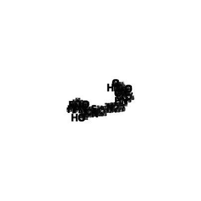 C[C@H](CNc1cccc2c1C(=O)N(C1CCC(=O)NC1=O)C2=O)C[C@]1(C)CC[C@H](N(C)C[C@H]2CC[C@H](c3nc4cc(C(C)(C)O)c(NC(=O)c5cccc(C(F)(F)F)n5)cc4s3)CC2)CC1